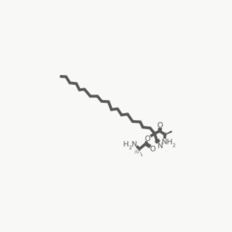 CCCCCCCCCCCCCCCCCCC(C#N)(OC(=O)[C@H](C)N)C(=O)[C@@H](C)N